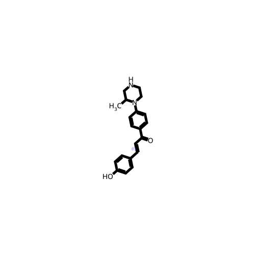 CC1CNCCN1c1ccc(C(=O)/C=C/c2ccc(O)cc2)cc1